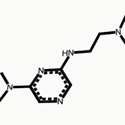 CN(C)CCNc1cncc(N(C)C)n1